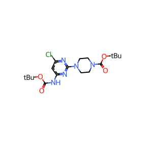 CC(C)(C)OC(=O)Nc1cc(Cl)nc(N2CCN(C(=O)OC(C)(C)C)CC2)n1